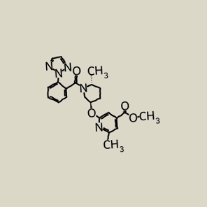 COC(=O)c1cc(C)nc(O[C@@H]2CC[C@@H](C)N(C(=O)c3ccccc3-n3nccn3)C2)c1